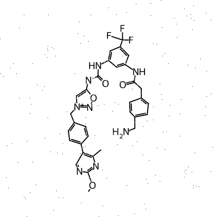 COc1ncc(-c2ccc(C[n+]3cc([N-]C(=O)Nc4cc(NC(=O)Cc5ccc(CN)cc5)cc(C(F)(F)F)c4)on3)cc2)c(C)n1